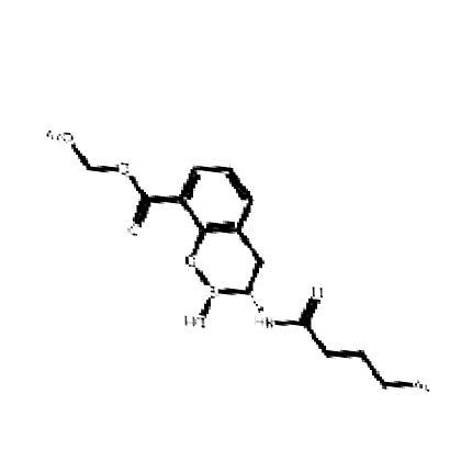 CC(=O)CCCC(=O)N[C@H]1Cc2cccc(C(=O)OCOC(C)=O)c2OB1O